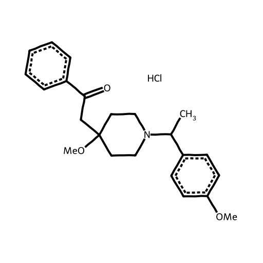 COc1ccc(C(C)N2CCC(CC(=O)c3ccccc3)(OC)CC2)cc1.Cl